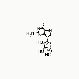 Nc1nc(Cl)c2ncn([C@H]3S[C@@H](CO)[C@@H](O)[C@@H]3O)c2n1